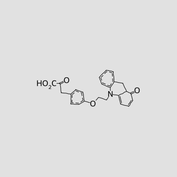 O=C(O)C(=O)Cc1ccc(OCCN2C3=CC=CC(=O)C3Cc3ccccc32)cc1